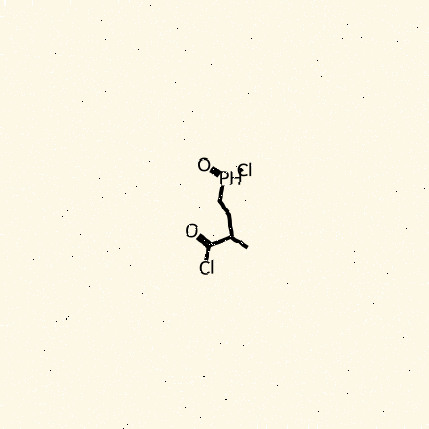 CC(CC[PH](=O)Cl)C(=O)Cl